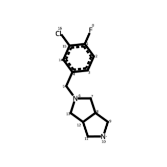 Fc1ccc(CN2CC3C[N]CC3C2)cc1Cl